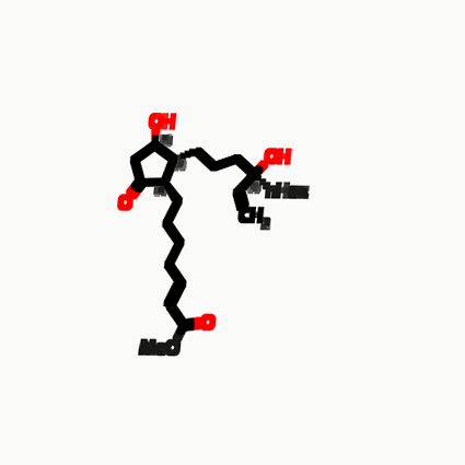 C=C[C@@](O)(CCCCCC)CCC[C@H]1[C@H](O)CC(=O)[C@@H]1CCCCC=CC(=O)OC